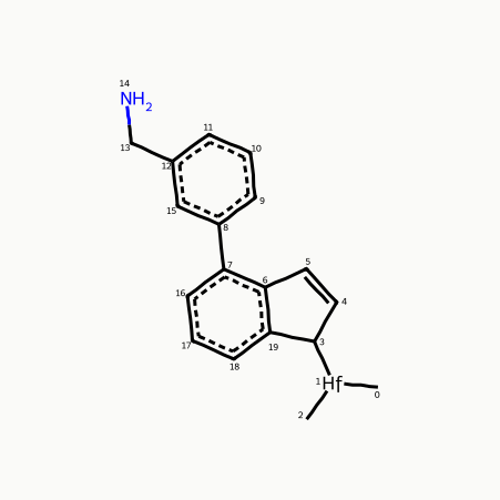 [CH3][Hf]([CH3])[CH]1C=Cc2c(-c3cccc(CN)c3)cccc21